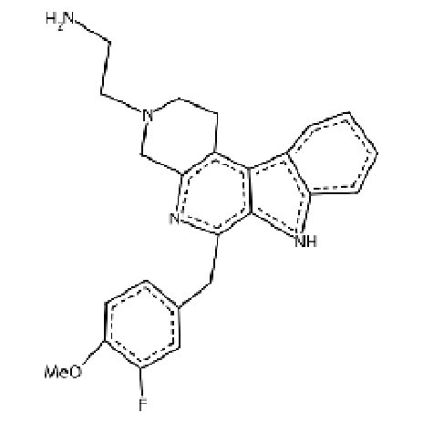 COc1ccc(Cc2nc3c(c4c2[nH]c2ccccc24)CCN(CCN)C3)cc1F